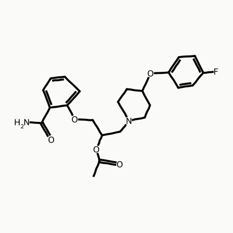 CC(=O)OC(COc1ccccc1C(N)=O)CN1CCC(Oc2ccc(F)cc2)CC1